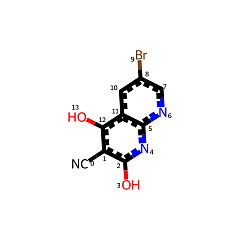 N#Cc1c(O)nc2ncc(Br)cc2c1O